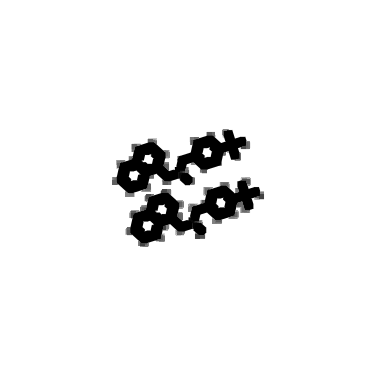 CN(Cc1ccc(C(C)(C)C)cc1)Cc1cccc2ccccc12.CN(Cc1ccc(C(C)(C)C)cc1)Cc1cccc2ccccc12